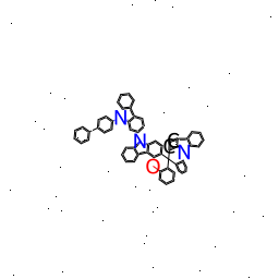 c1ccc(-c2ccc(-n3c4ccccc4c4ccc(-n5c6ccccc6c6c7c(ccc65)C5(c6ccccc6O7)c6ccccc6-n6c7ccccc7c7cccc5c76)cc43)cc2)cc1